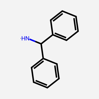 [NH]C(c1ccccc1)c1ccccc1